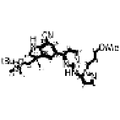 COCCCn1nccc1Nc1nccc(-c2cc(C#N)c3c(c2)[C@](C)(CO[Si](C)(C)C(C)(C)C)CN3)n1